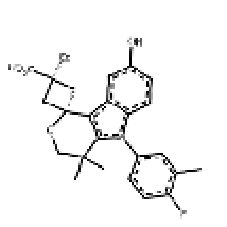 CC[C@]1(C(=O)O)C[C@@]2(C1)OCC(C)(C)c1c2c2cc(O)ccc2n1-c1ccc(F)c(C)c1